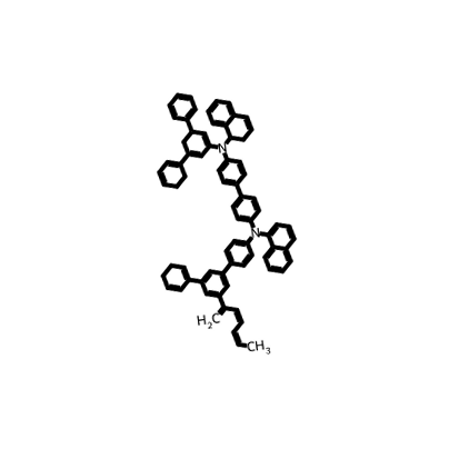 C=C(/C=C\C=C/C)c1cc(C2=CCCC=C2)cc(-c2ccc(N(c3ccc(-c4ccc(N(C5=CC(c6ccccc6)CC(C6=CC=CCC6)=C5)C5CC=Cc6ccccc65)cc4)cc3)c3cccc4ccccc34)cc2)c1